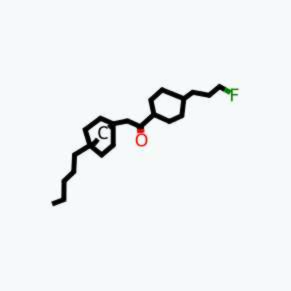 CCCCCC12CCC(CC(=O)C3CCC(CCCF)CC3)(CC1)CC2